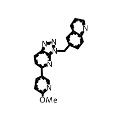 COc1ccc(-c2ccc3nnn(Cc4ccc5ncccc5c4)c3n2)cn1